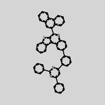 c1ccc(-c2cc(-c3cccc(-c4ccc5nc(-c6cc7ccccc7c7ccccc67)c6sc7ccccc7c6c5c4)c3)nc(-c3ccccc3)n2)cc1